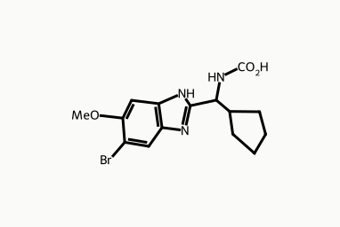 COc1cc2[nH]c(C(NC(=O)O)C3CCCC3)nc2cc1Br